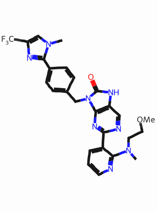 COCCN(C)c1ncccc1-c1ncc2[nH]c(=O)n(Cc3ccc(-c4nc(C(F)(F)F)cn4C)cc3)c2n1